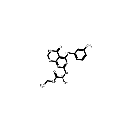 Cc1cccc(Nc2nc(N[C@H](C(=O)NCC(F)(F)F)C(C)C)nc3c2C(=O)NCO3)c1